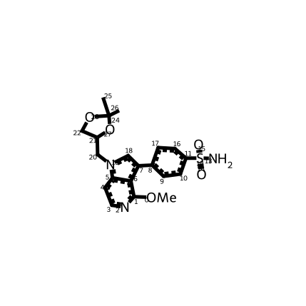 COc1nccc2c1c(-c1ccc(S(N)(=O)=O)cc1)cn2CC1COC(C)(C)O1